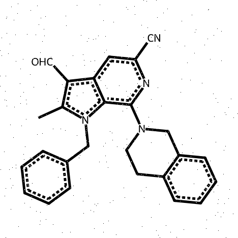 Cc1c(C=O)c2cc(C#N)nc(N3CCc4ccccc4C3)c2n1Cc1ccccc1